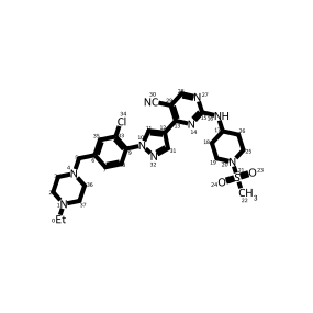 CCN1CCN(Cc2ccc(-n3cc(-c4nc(NC5CCN(S(C)(=O)=O)CC5)ncc4C#N)cn3)c(Cl)c2)CC1